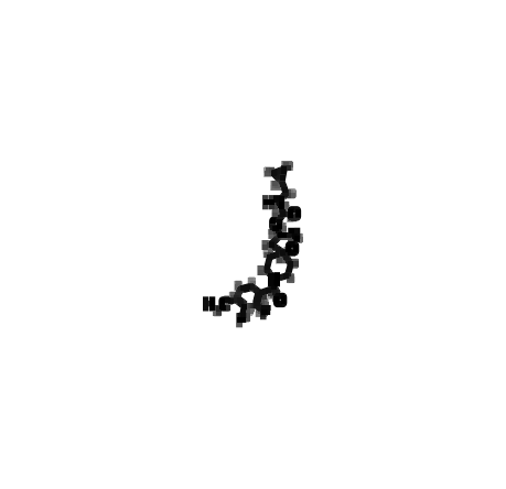 Cc1ccc(C(=O)N2CCC3(CC2)CC(OC(=O)NCC2CC2)=NO3)c(F)c1F